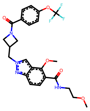 COCCNC(=O)c1ccc2nn(CC3CN(C(=O)c4ccc(OC(F)(F)F)cc4)C3)cc2c1OC